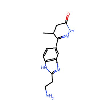 CC1CC(=O)NN=C1c1ccc2[nH]c(CCN)nc2c1